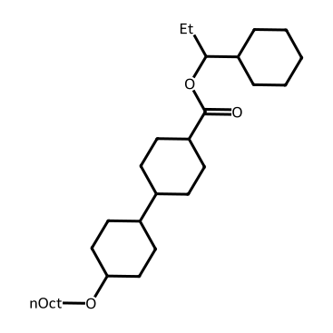 CCCCCCCCOC1CCC(C2CCC(C(=O)OC(CC)C3CCCCC3)CC2)CC1